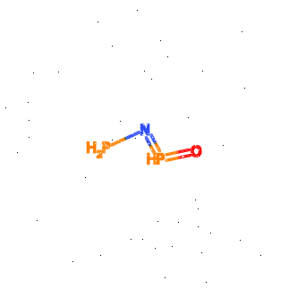 O=[PH]=NP